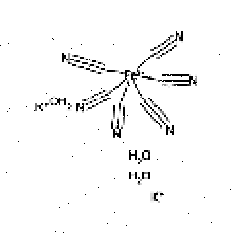 N#[C][Fe-2]([C]#N)([C]#N)([C]#N)([C]#N)[C]#N.O.O.O.[K+].[K+]